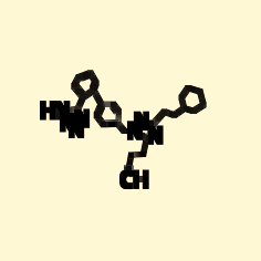 C#CCCc1nc(CCC2CCCCC2)nn1Cc1ccc(-c2ccccc2-c2nnn[nH]2)cc1